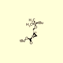 CC(C)(C)OC(=O)N1C[C@H]1CO[Si](C)(C)C(C)(C)C